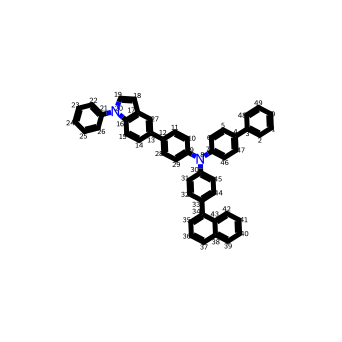 c1ccc(-c2ccc(N(c3ccc(-c4ccc5c(ccn5-c5ccccc5)c4)cc3)c3ccc(-c4cccc5ccccc45)cc3)cc2)cc1